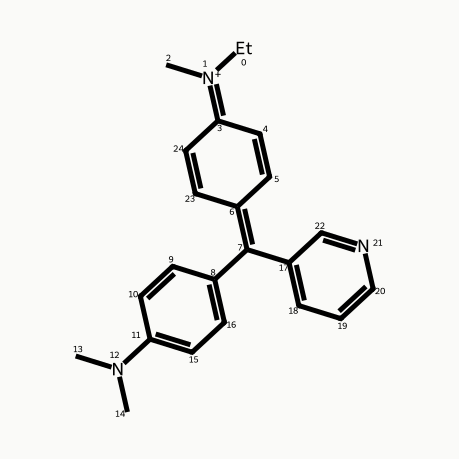 CC[N+](C)=C1C=CC(=C(c2ccc(N(C)C)cc2)c2cccnc2)C=C1